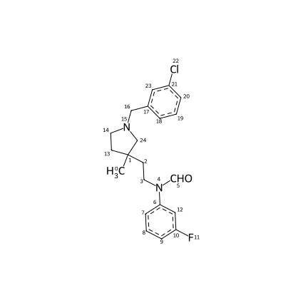 CC1(CCN(C=O)c2cccc(F)c2)CCN(Cc2cccc(Cl)c2)C1